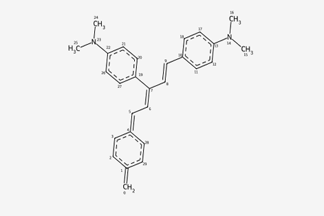 C=c1ccc(=C/C=C(/C=C/c2ccc(N(C)C)cc2)c2ccc(N(C)C)cc2)cc1